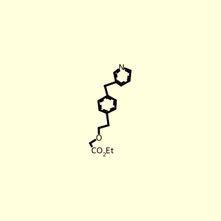 CCOC(=O)COCCc1ccc(Cc2cccnc2)cc1